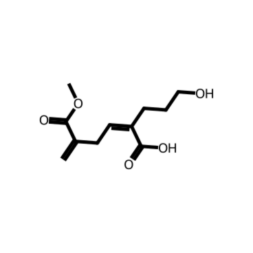 C=C(CC=C(CCCO)C(=O)O)C(=O)OC